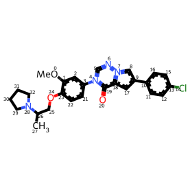 COc1cc(-n2cnn3cc(-c4ccc(Cl)cc4)cc3c2=O)ccc1OCC(C)N1CCCC1